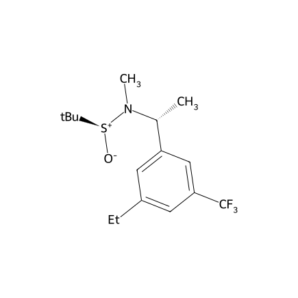 CCc1cc([C@@H](C)N(C)[S@@+]([O-])C(C)(C)C)cc(C(F)(F)F)c1